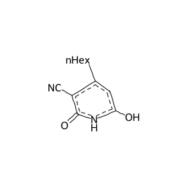 CCCCCCc1cc(O)[nH]c(=O)c1C#N